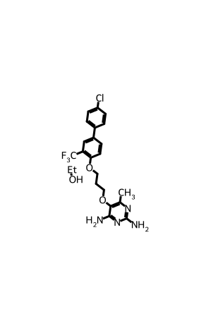 CCO.Cc1nc(N)nc(N)c1OCCCOc1ccc(-c2ccc(Cl)cc2)cc1C(F)(F)F